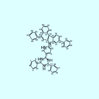 C1=C(C2NC(c3ccccc3)NC(c3ccccc3)N2)CNC(n2c3cc(-c4ccccc4)ccc3c3c4ccccc4c(-c4ccccc4)cc32)=C1